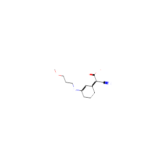 COCCCNC1=CC(=C(C#N)C(=O)O)CCC1